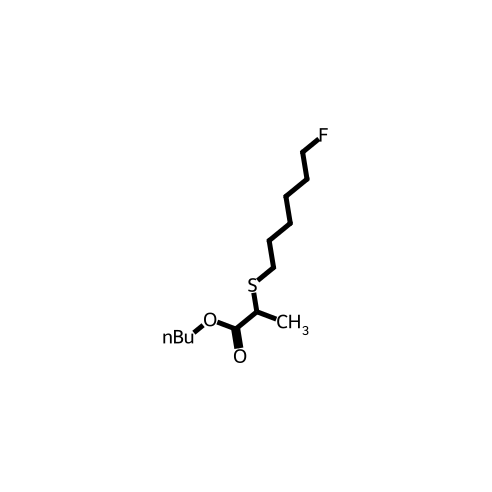 CCCCOC(=O)C(C)SCCCCCCF